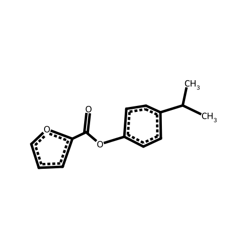 CC(C)c1ccc(OC(=O)c2ccco2)cc1